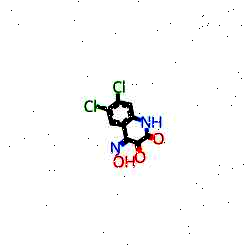 O=C1Nc2cc(Cl)c(Cl)cc2C(=NO)C1=O